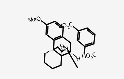 COc1ccc2c(c1)[C@]13CCCC[C@@H]1[C@H](C2)N(C)CC3.O=C(O)c1cccc(C(=O)O)c1